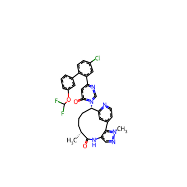 C[C@@H]1CCC[C@H](n2cnc(-c3cc(Cl)ccc3-c3cccc(OC(F)F)c3)cc2=O)c2cc(ccn2)-c2c(cnn2C)NC1=O